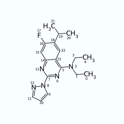 CCN(CC)c1nc(-n2cccn2)nc2cc(F)c(C(C)C)cc12